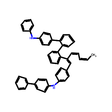 C\C=C/C=C\C(=C\c1ccc(Nc2ccc(-c3ccccc3)cc2)cc1)c1ccccc1-c1ccccc1-c1ccc(Nc2ccccc2)cc1